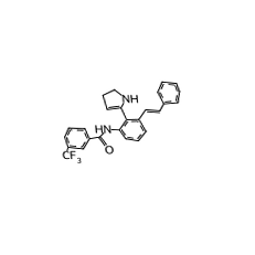 O=C(Nc1cccc(/C=C/c2ccccc2)c1C1=CCCN1)c1cccc(C(F)(F)F)c1